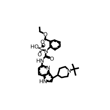 CCOC(=O)c1ccccc1N(C(=O)Nc1ccc2[nH]cc(C3CCN(C(C)(C)C)CC3)c2n1)S(=O)(=O)O